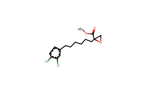 CCCCOC(=O)C1(CCCCCCc2ccc(Cl)c(Cl)c2)CO1